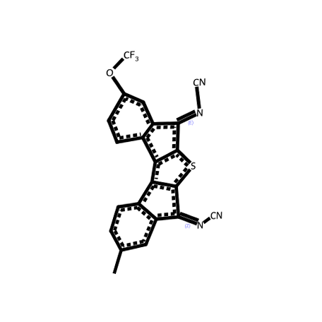 Cc1ccc2c(c1)/c(=N/C#N)c1sc3/c(=N/C#N)c4cc(OC(F)(F)F)ccc4c3c12